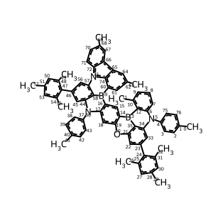 Cc1ccc(N2c3cccc(C)c3B3c4cc5c(cc4Oc4cc(-c6c(C)cc(C)cc6C)cc2c43)N(c2ccc(C)cc2)c2cc(-c3c(C)cc(C)cc3C)cc3c2B5c2cc(C)cc4c5cc(C)ccc5n-3c24)cc1